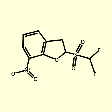 O=[N+]([O-])c1cccc2c1OC(S(=O)(=O)C(F)F)C2